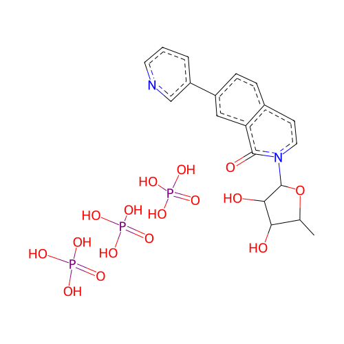 CC1OC(n2ccc3ccc(-c4cccnc4)cc3c2=O)C(O)C1O.O=P(O)(O)O.O=P(O)(O)O.O=P(O)(O)O